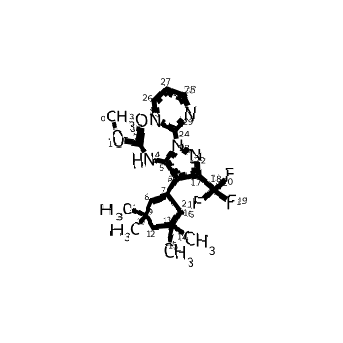 COC(=O)Nc1c(C2=CC(C)(C)CC(C)(C)C2)c(C(F)(F)F)nn1-c1ncccn1